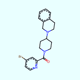 O=C(c1cc(Br)ccn1)N1CCC(N2CCc3ccccc3C2)CC1